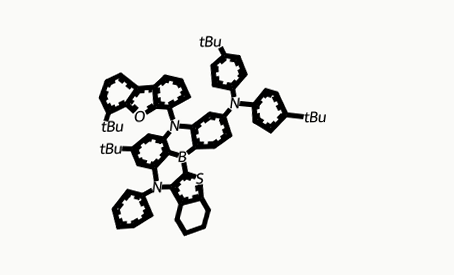 CC(C)(C)c1ccc(N(c2ccc(C(C)(C)C)cc2)c2ccc3c(c2)N(c2cccc4c2oc2c(C(C)(C)C)cccc24)c2cc(C(C)(C)C)cc4c2B3c2sc3c(c2N4c2ccccc2)CCCC3)cc1